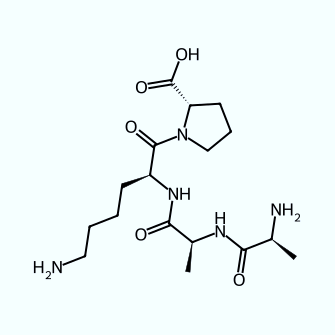 C[C@H](N)C(=O)N[C@@H](C)C(=O)N[C@@H](CCCCN)C(=O)N1CCC[C@H]1C(=O)O